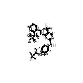 CN(c1ncccc1CNc1nc(Nc2ccc(NC(=O)C(C)(C)C)cc2)ncc1C(F)(F)F)S(C)(=O)=O